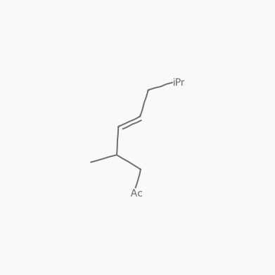 CC(=O)CC(C)/C=C/CC(C)C